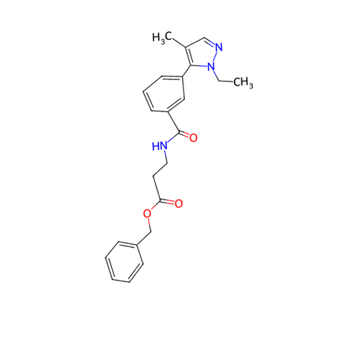 CCn1ncc(C)c1-c1cccc(C(=O)NCCC(=O)OCc2ccccc2)c1